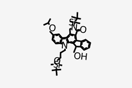 CC(C)OCc1ccc2c(c1)c1c3c(c4c(c1n2CCCO[Si](C)(C)C(C)(C)C)C(CO)c1ccccc1-4)C(=O)N([Si](C)(C)C(C)(C)C)C3